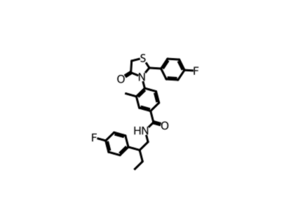 CCC(CNC(=O)c1ccc(N2C(=O)CSC2c2ccc(F)cc2)c(C)c1)c1ccc(F)cc1